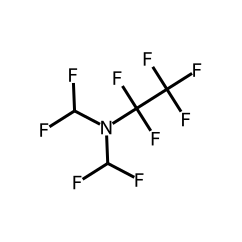 FC(F)N(C(F)F)C(F)(F)C(F)(F)F